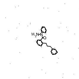 NN(C(=O)c1ccccc1CCCc1ccccc1)c1ccccc1